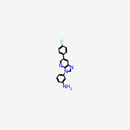 Nc1cccc(-n2cnc3cc(-c4ccc(F)cc4)cnc32)c1